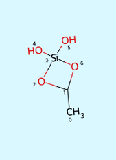 CC1O[Si](O)(O)O1